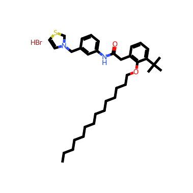 Br.CCCCCCCCCCCCCCOc1c(CC(=O)Nc2cccc(CN3C=CSC3)c2)cccc1C(C)(C)C